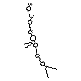 CCCCCCN(CCCCCC)c1ccc(/C=C/c2ccc(C#Cc3ccc4c(c3)C(CCCC)(CCCC)C3=C4/C=C\CC(c4ccc(/C=C/c5ccc(N(CC)CCOc6ccc(O)cc6)cc5)s4)=C=C3)s2)cc1